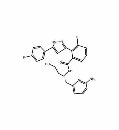 Nc1cccc(C[C@H](CCO)NC(=O)c2cccc(F)c2-c2cc(-c3ccc(F)cc3)[nH]n2)n1